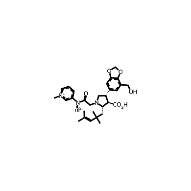 CCCN(C(=O)CN1C[C@H](c2cc(CO)c3c(c2)OCO3)[C@@H](C(=O)O)[C@@H]1CC(C)(C)C=C(C)C)c1ccc[n+](C)c1